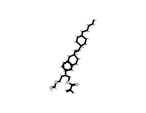 C=C(C)C(=O)OCC(CCOC=O)c1ccc2c(c1)CCC(/C=C/C1CCC(CCCCC)CC1)C2